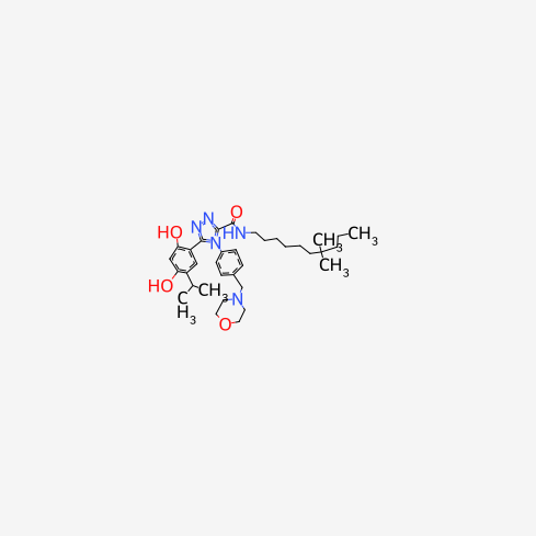 CCCC(C)(C)CCCCCCNC(=O)c1nnc(-c2cc(C(C)C)c(O)cc2O)n1-c1ccc(CN2CCOCC2)cc1